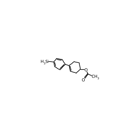 CC(=O)OC1CC=C(c2ccc([SiH3])cc2)CC1